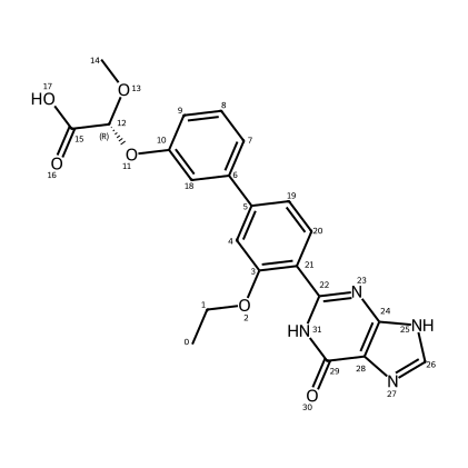 CCOc1cc(-c2cccc(O[C@@H](OC)C(=O)O)c2)ccc1-c1nc2[nH]cnc2c(=O)[nH]1